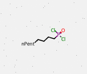 CCCCCCCCCP(=O)(Cl)Cl